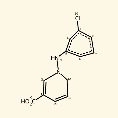 O=C(O)C1=CN(Nc2cccc(Cl)c2)CC=C1